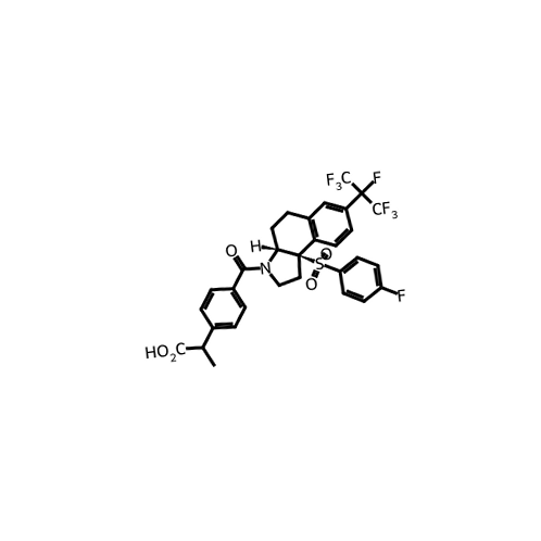 CC(C(=O)O)c1ccc(C(=O)N2CC[C@@]3(S(=O)(=O)c4ccc(F)cc4)c4ccc(C(F)(C(F)(F)F)C(F)(F)F)cc4CC[C@@H]23)cc1